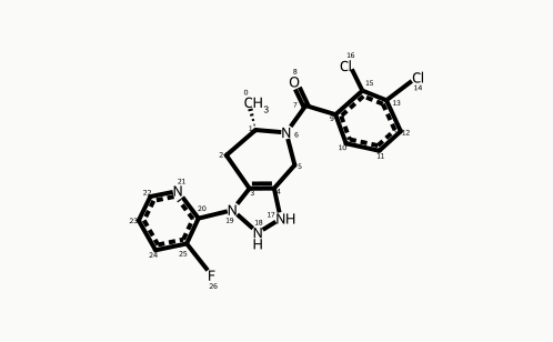 C[C@H]1CC2=C(CN1C(=O)c1cccc(Cl)c1Cl)NNN2c1ncccc1F